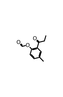 CCC(=O)c1cc(C)ccc1OC=O